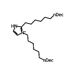 CCCCCCCCCCCCCCCCc1[nH]cc[n+]1CCCCCCCCCCCCCCCC